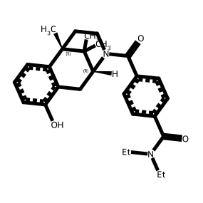 CCN(CC)C(=O)c1ccc(C(=O)N2CC[C@@]3(C)c4cccc(O)c4C[C@@H]2C3(C)C)cc1